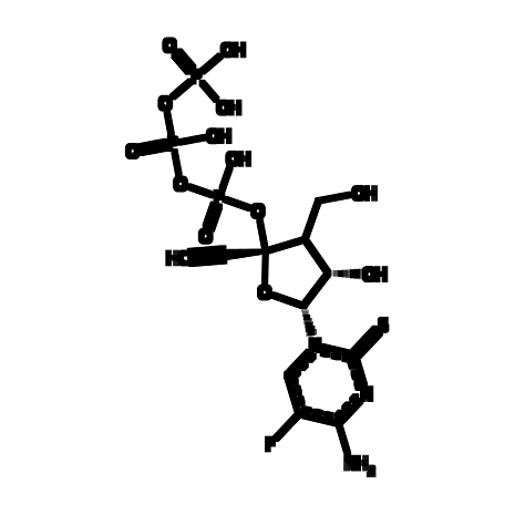 C#C[C@]1(OP(=O)(O)OP(=O)(O)OP(=O)(O)O)O[C@@H](n2cc(F)c(N)nc2=S)[C@@H](O)C1CO